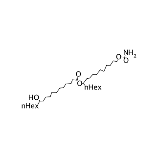 CCCCCCC(O)CCCCCCCCCCC(=O)OC(CCCCCC)CCCCCCCCCCOC(N)=O